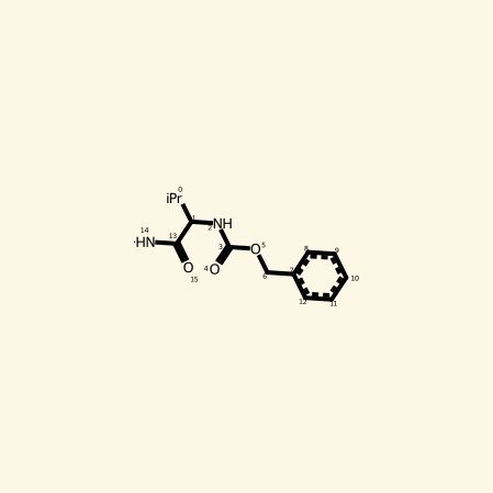 CC(C)C(NC(=O)OCc1ccccc1)C([NH])=O